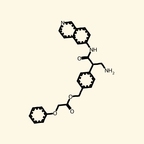 NCC(C(=O)Nc1ccc2cnccc2c1)c1ccc(COC(=O)COc2ccccc2)cc1